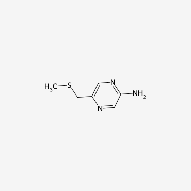 CSCc1cnc(N)cn1